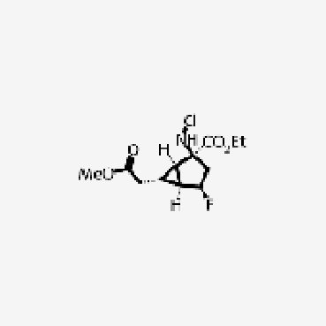 CCOC(=O)[C@]1(NCl)C[C@@H](F)[C@H]2[C@H](CC(=O)OC)[C@H]21